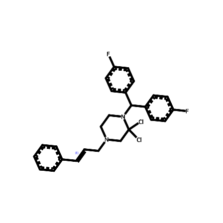 Fc1ccc(C(c2ccc(F)cc2)N2CCN(C/C=C/c3ccccc3)CC2(Cl)Cl)cc1